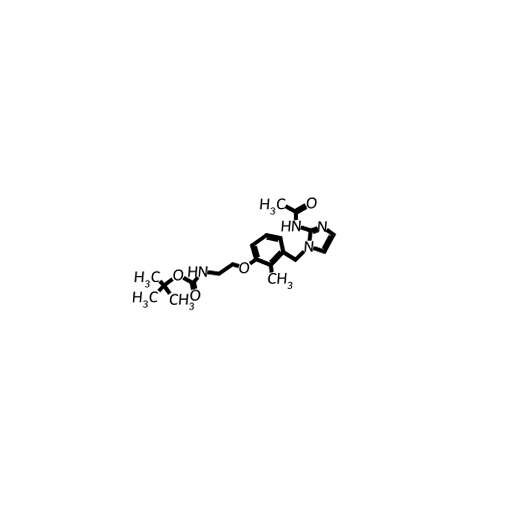 CC(=O)Nc1nccn1Cc1cccc(OCCNC(=O)OC(C)(C)C)c1C